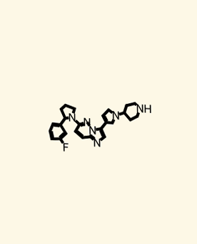 Fc1cccc(C2CCCN2c2ccc3ncc(C4=CCN(C5CCNCC5)C4)n3n2)c1